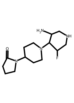 NC1CNCC(F)C1N1CCC(N2CCCC2=O)CC1